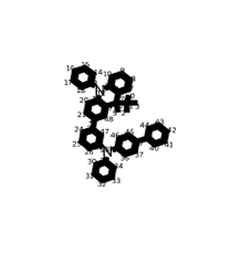 CC(C)(C)C1(C)c2ccccc2N(c2ccccc2)c2ccc(-c3cccc(N(c4ccccc4)c4ccc(-c5ccccc5)cc4)c3)cc21